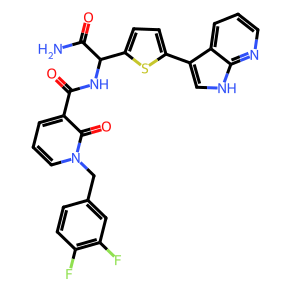 NC(=O)C(NC(=O)c1cccn(Cc2ccc(F)c(F)c2)c1=O)c1ccc(-c2c[nH]c3ncccc23)s1